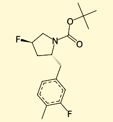 Cc1ccc(C[C@@H]2C[C@@H](F)CN2C(=O)OC(C)(C)C)cc1F